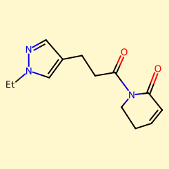 CCn1cc(CCC(=O)N2CCC=CC2=O)cn1